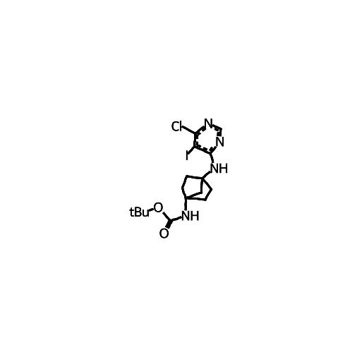 CC(C)(C)OC(=O)NC12CCC(Nc3ncnc(Cl)c3I)(CC1)C2